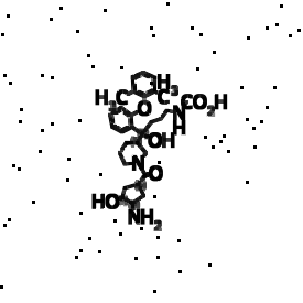 Cc1cccc(C)c1Oc1ccccc1[C@](O)(CCCNC(=O)O)[C@@H]1CCCN(C(=O)[C@H]2C[C@@H](N)[C@@H](O)C2)C1